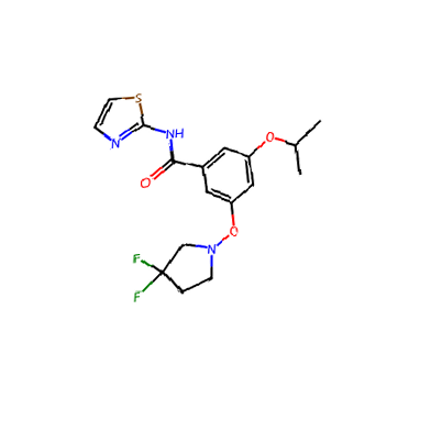 CC(C)Oc1cc(ON2CCC(F)(F)C2)cc(C(=O)Nc2nccs2)c1